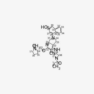 C=CC(=O)N1CC(Nc2c(C#N)c(OC[C@@H]3CCCN3C)nc3c2CCN(c2cc(O)cc4ccccc24)C3)C1